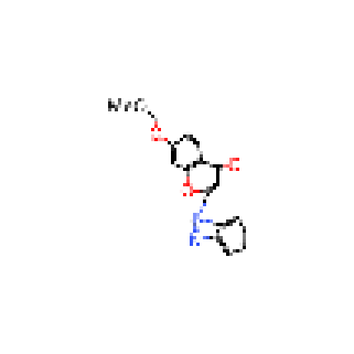 COCOc1ccc2c(=O)cc(-n3cnc4ccccc43)oc2c1